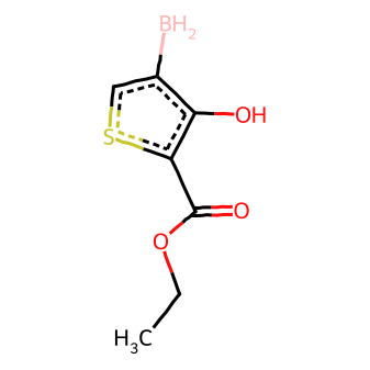 Bc1csc(C(=O)OCC)c1O